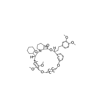 COc1ccc(CC[C@H]2OC(=O)[C@@H]3CCCCN3C(=O)[C@@H](C3CCCCC3)c3cc(OC)c(c(OC)c3)OC3CCC(CC3)Oc3cccc2c3)cc1OC